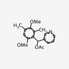 COc1cc(C)c(OC)c(C)c1C(OC(C)=O)c1cccnc1